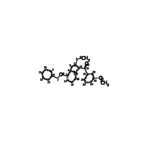 CCc1cc2c(OCc3ccccc3)cccn2c1C(=O)c1cccc(OC)c1